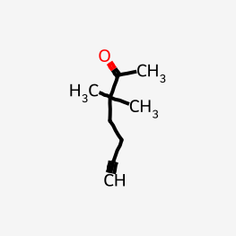 C#CCCC(C)(C)C(C)=O